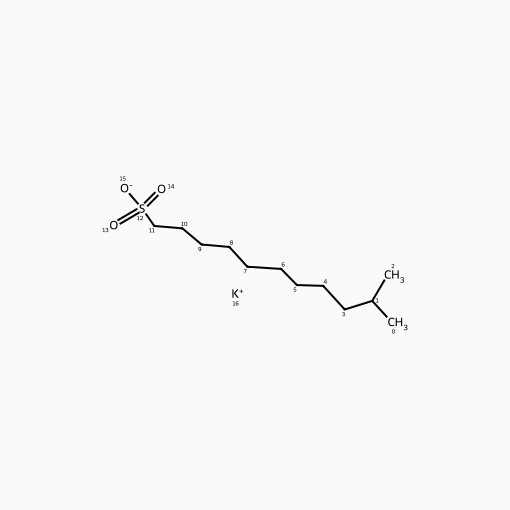 CC(C)CCCCCCCCCS(=O)(=O)[O-].[K+]